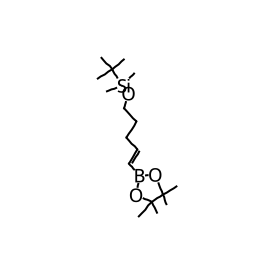 CC1(C)OB(/C=C/CCCO[Si](C)(C)C(C)(C)C)OC1(C)C